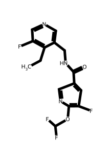 CCc1c(F)cncc1CNC(=O)c1cnc(OC(F)F)c(F)c1